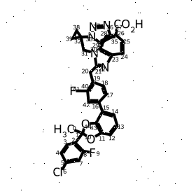 CC1(c2ccc(Cl)cc2F)Oc2cccc(-c3ccc(Cc4nc5ccc(C(=O)O)cc5n4CC4(n5ccnn5)CC4)c(F)c3)c2O1